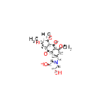 COc1cc(OC)c2c(c1)C(=O)c1cc(CN(CCO)CCO)cc(OC)c1C2=O